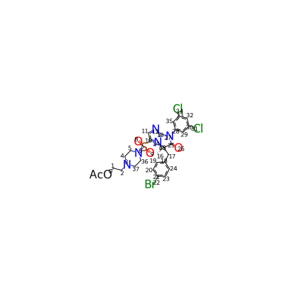 CC(=O)OCCN1CCN(S(=O)(=O)c2cnc3n2[C@](C)(Cc2ccc(Br)cc2)C(=O)N3c2cc(Cl)cc(Cl)c2)CC1